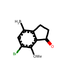 Bc1cc(Br)c(OC)c2c1CCC2=O